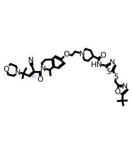 CC1c2ccc(OCCN3CCC(C(=O)Nc4ncc(SCc5ncc(C(C)(C)C)o5)s4)CC3)cc2CCN1C(=O)/C(C#N)=C/C(C)(C)N1CCOCC1